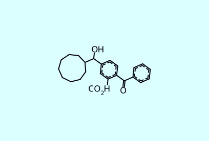 O=C(O)c1cc(C(O)C2CCCCCCCC2)ccc1C(=O)c1ccccc1